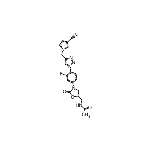 CC(=O)NCC1CN(c2ccc(-n3cc(Cn4ccc(C#N)c4)nn3)c(F)c2)C(=O)O1